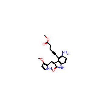 COC(=O)CCC#Cc1c(N)ccc2c1C(=Cc1[nH]ccc1OC)C(=O)N2